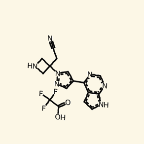 N#CCC1(n2cc(-c3ncnc4[nH]ccc34)cn2)CNC1.O=C(O)C(F)(F)F